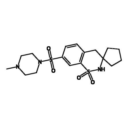 CN1CCN(S(=O)(=O)c2ccc3c(c2)S(=O)(=O)NC2(CCCC2)C3)CC1